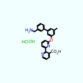 Cc1cc(Oc2cccc(-c3ncccc3C(=O)O)n2)cc(-c2cccc(CN)c2)c1.Cl.Cl